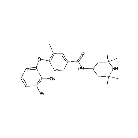 Cc1cc(C(=O)NC2CC(C)(C)NC(C)(C)C2)ccc1Oc1cccc(C(C)C)c1C#N